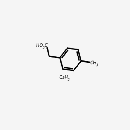 Cc1ccc(CC(=O)O)cc1.[CaH2]